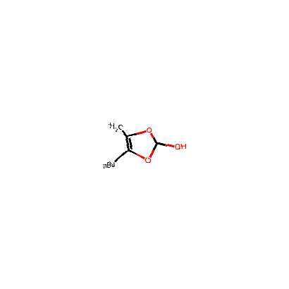 [CH2]C1=C(CCCC)OC(O)O1